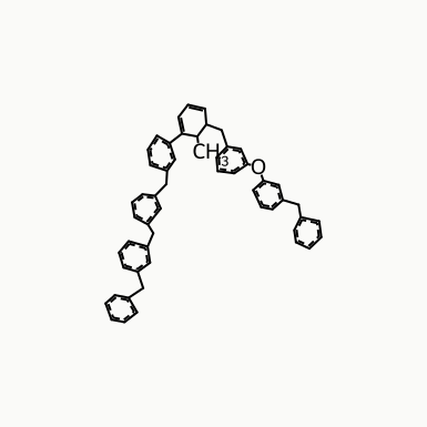 CC1C(c2cccc(Cc3cccc(Cc4cccc(Cc5ccccc5)c4)c3)c2)=CC=CC1Cc1cccc(Oc2cccc(Cc3ccccc3)c2)c1